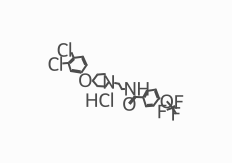 Cl.O=C(NCCN1CCC(Oc2ccc(Cl)c(Cl)c2)CC1)c1ccc(OC(F)(F)F)cc1